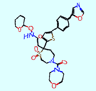 O=C(CC1(c2ccc(-c3ccc(-c4cnco4)cc3)s2)CCN(C(=O)N2CCOCC2)CCS1(=O)=O)NOC1CCCCO1